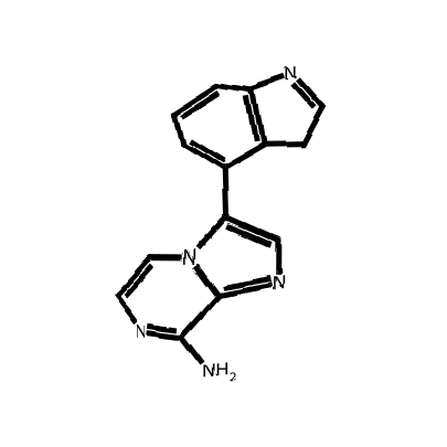 Nc1nccn2c(-c3cccc4c3CC=N4)cnc12